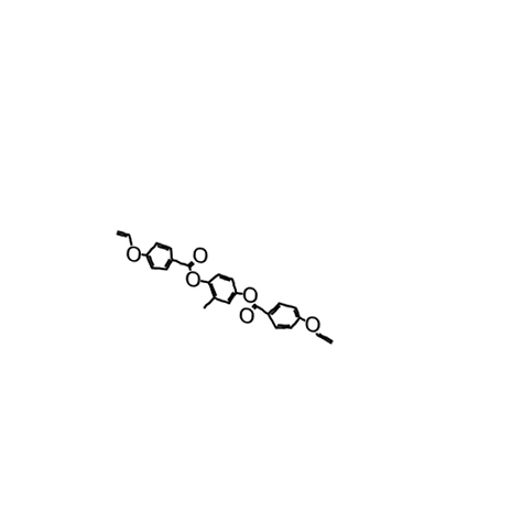 C=COc1ccc(C(=O)Oc2ccc(OC(=O)c3ccc(OC=C)cc3)c(C)c2)cc1